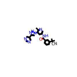 Cc1ncc(NC(=O)c2cccc(C(C)(C)C#N)c2)cc1-n1cc(-c2cncnc2)nn1